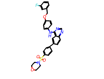 O=S(=O)(c1ccc(-c2ccc3ncnc(Nc4ccc(OCc5cccc(F)c5)cc4)c3c2)cc1)N1CCOCC1